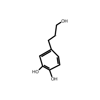 OC[CH]Cc1ccc(O)c(O)c1